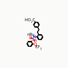 CCCCN(c1ccccc1CCc1ccc(C(=O)O)cc1)S(=O)(=O)c1ccccc1OC(F)(F)F